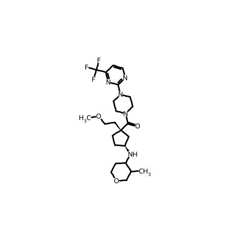 COCC[C@]1(C(=O)N2CCN(c3nccc(C(F)(F)F)n3)CC2)CC[C@H](NC2CCOCC2C)C1